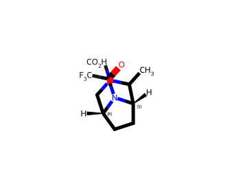 CC1[C@@H]2CC[C@H](CN1C(=O)O)N2C(=O)C(F)(F)F